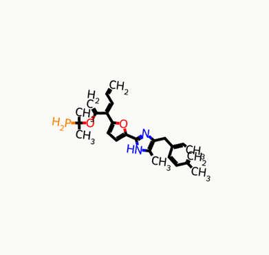 C=C/C=C(\C(=C)OC(C)(C)P)c1ccc(-c2nc(CC(/C=C\C(=C)C)=C/C)c(C)[nH]2)o1